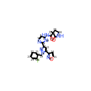 CC1(C(=O)Nc2ccnc(-c3cc(-c4ccon4)n(Cc4ccccc4F)n3)n2)CCNC1=O